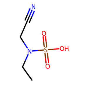 CCN(CC#N)S(=O)(=O)O